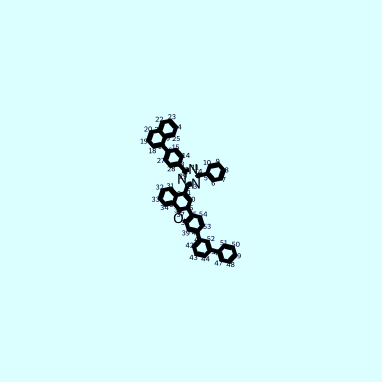 C1=C(c2nc(-c3ccccc3)nc(-c3ccc(-c4cccc5ccccc45)cc3)n2)c2ccccc2C2Oc3cc(-c4cccc(-c5ccccc5)c4)ccc3C12